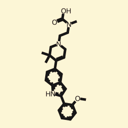 COc1ccccc1-c1cc2cc(C3=CCN(CCN(C)C(=O)O)CC3(C)C)ccc2[nH]1